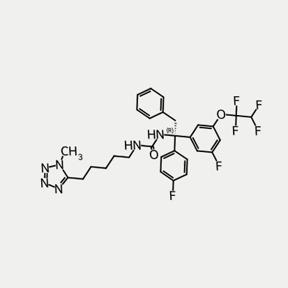 Cn1nnnc1CCCCCNC(=O)N[C@](Cc1ccccc1)(c1ccc(F)cc1)c1cc(F)cc(OC(F)(F)C(F)F)c1